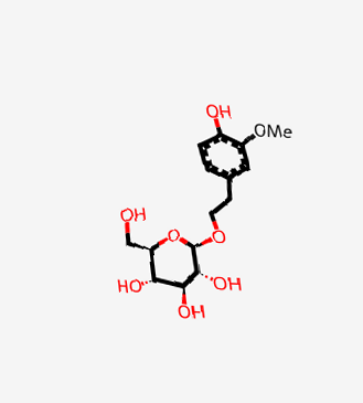 COc1cc(CCO[C@@H]2O[C@H](CO)[C@@H](O)[C@H](O)[C@H]2O)ccc1O